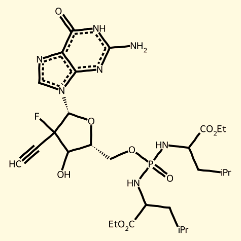 C#CC1(F)C(O)[C@@H](COP(=O)(NC(CC(C)C)C(=O)OCC)NC(CC(C)C)C(=O)OCC)O[C@H]1n1cnc2c(=O)[nH]c(N)nc21